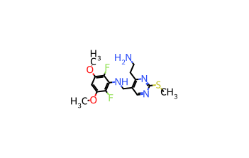 COc1cc(OC)c(F)c(NCc2cnc(SC)nc2CCN)c1F